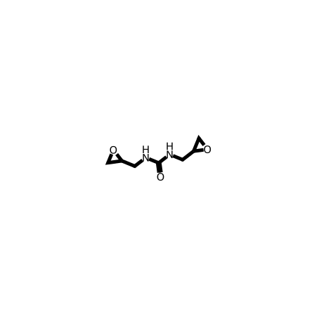 O=C(NCC1CO1)NCC1CO1